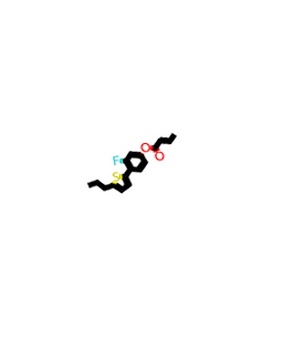 CC=CC(=O)Oc1ccc(-c2ccc(CCC)s2)c(F)c1